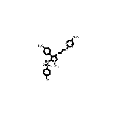 Cc1ccc(-c2c(OCCOc3ncc(C=O)cn3)nn(C)c2NS(=O)(=O)c2ccc(C(C)(C)C)cc2)cc1